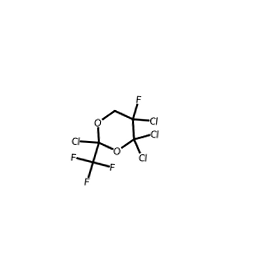 FC(F)(F)C1(Cl)OCC(F)(Cl)C(Cl)(Cl)O1